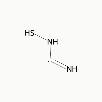 N=[C]NS